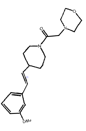 COc1cccc(/C=C/C2CCN(C(=O)CN3CCOCC3)CC2)c1